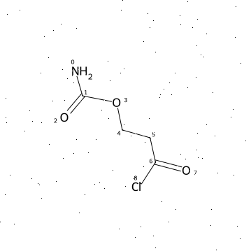 NC(=O)OCCC(=O)Cl